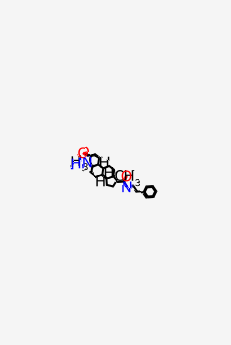 C[C@]12CCC(=O)NC1CC[C@@H]1[C@H]2CC[C@]2(C)C(C(=O)N=CCc3ccccc3)CC[C@@H]12